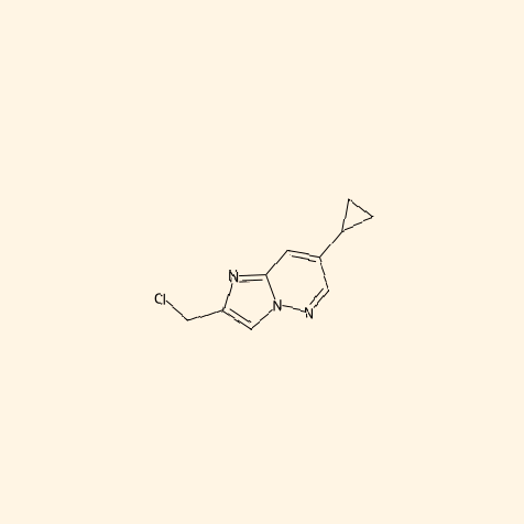 ClCc1cn2ncc(C3CC3)cc2n1